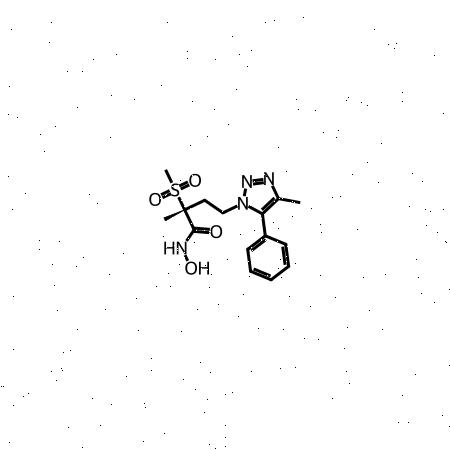 Cc1nnn(CC[C@](C)(C(=O)NO)S(C)(=O)=O)c1-c1ccccc1